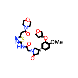 COc1ccc([C@@H]2CC(=O)N(CC(=O)Nc3nnc(CC(=O)N4CCOCC4)s3)C2)cc1O[C@@H]1CCOC1